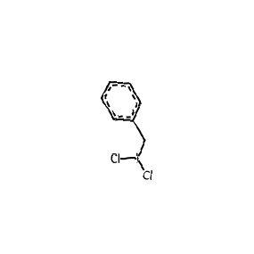 ClI(Cl)Cc1ccccc1